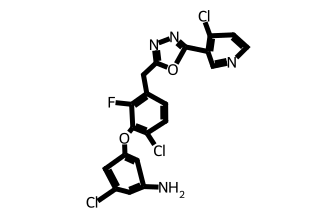 Nc1cc(Cl)cc(Oc2c(Cl)ccc(Cc3nnc(-c4cnccc4Cl)o3)c2F)c1